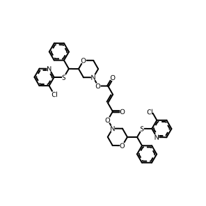 O=C(/C=C/C(=O)ON1CCOC(C(Sc2ncccc2Cl)c2ccccc2)C1)ON1CCOC(C(Sc2ncccc2Cl)c2ccccc2)C1